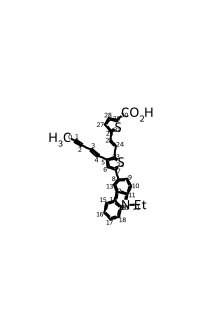 CC#CC#Cc1cc(-c2ccc3c(c2)c2ccccc2n3CC)sc1/C=C/c1ccc(C(=O)O)s1